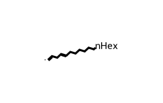 [CH]=CCC=CCCCCCCCCCCCC